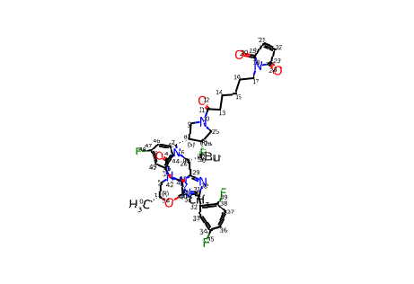 C[C@@H]1CN(C(=O)N(C[C@@H]2CN(C(=O)CCCCCN3C(=O)C=CC3=O)C[C@@H]2F)[C@@H](c2nc(-c3cc(F)ccc3F)nn2Cc2cccc(F)c2)C(C)(C)C)C[C@H](C)O1